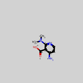 CN(C)c1nccc(N)c1C(=O)O